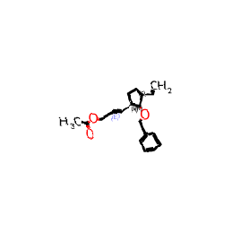 C=C[C@@H]1CC[C@H](/C=C/COC(C)=O)[C@@H]1OCc1ccccc1